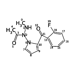 CNN(C(C)=O)n1cccc1C(=O)c1ccccc1F